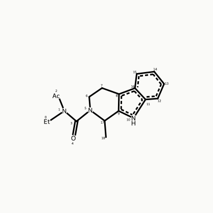 CCN(C(C)=O)C(=O)N1CCc2c([nH]c3ccccc23)C1C